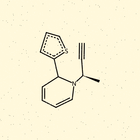 C#C[C@@H](C)N1C=CC=CC1c1cccs1